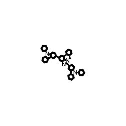 c1ccc(-n2c3ccccc3c3cc(-c4cc5c6c(c4)nc(-c4ccc7c(c4)c4ccccc4n7-c4ccccc4)n6Cc4ccccc4-5)ccc32)cc1